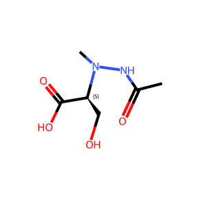 CC(=O)NN(C)[C@@H](CO)C(=O)O